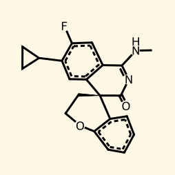 CNC1=NC(=O)[C@@]2(CCOc3ccccc32)c2cc(C3CC3)c(F)cc21